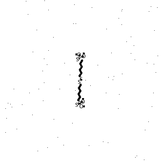 COP(=S)(CCCCCCSSCCCCCCP(=S)(OC)OC)OC